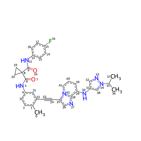 Cc1ccc(NC(=O)C2(C(=O)Nc3ccc(F)cc3)CC2)cc1C#Cc1cnc2c(Nc3cnn(C(C)C)c3)cccn12